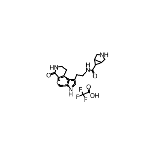 O=C(O)C(F)(F)F.O=C1NCCc2c1ccc1[nH]cc(CCNC(=O)C3C4CNCC43)c21